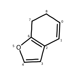 C1=Cc2ccoc2CC1